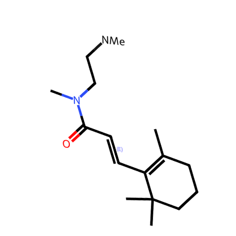 CNCCN(C)C(=O)/C=C/C1=C(C)CCCC1(C)C